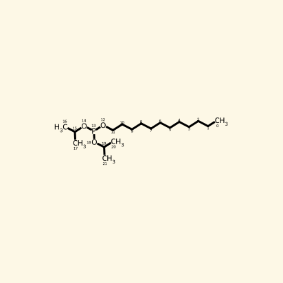 CCCCCCCCCCCCOP(OC(C)C)OC(C)C